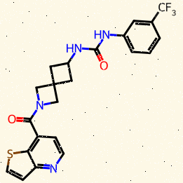 O=C(Nc1cccc(C(F)(F)F)c1)NC1CC2(C1)CN(C(=O)c1ccnc3ccsc13)C2